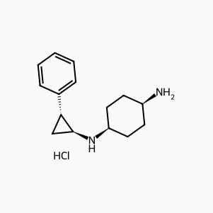 Cl.N[C@H]1CC[C@@H](N[C@H]2C[C@@H]2c2ccccc2)CC1